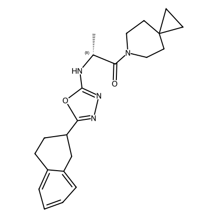 C[C@@H](Nc1nnc(C2CCc3ccccc3C2)o1)C(=O)N1CCC2(CC1)CC2